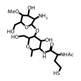 COC1C(CO)OC(OC2C(CO)OC(C)C(NC(=O)C(CCS)NC(C)=O)C2O)C(N)C1O